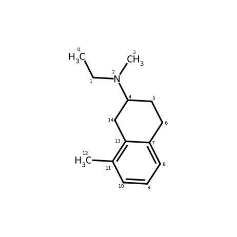 CCN(C)C1CCc2cccc(C)c2C1